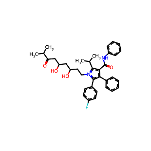 CC(C)C(=O)CC(O)CC(O)CCn1c(-c2ccc(F)cc2)c(-c2ccccc2)c(C(=O)Nc2ccccc2)c1C(C)C